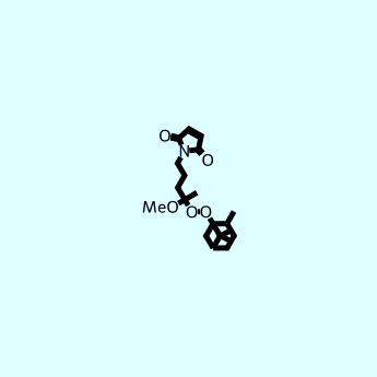 COC(C)(CCCN1C(=O)C=CC1=O)OOC12CC(CCC1C)C2(C)C